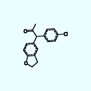 CC(=O)C(c1ccc(Cl)cc1)c1ccc2c(c1)CCO2